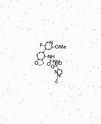 COc1cc(-c2ccc3c(c2NC(=O)NS(=O)(=O)c2ccn(C4CC4)n2)CCO3)c(F)cn1